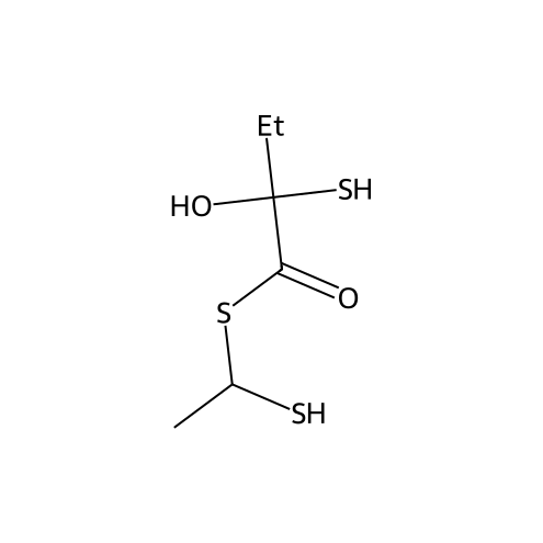 CCC(O)(S)C(=O)SC(C)S